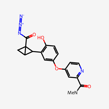 CNC(=O)c1cc(Oc2ccc(O)c(C3C4CC43C(=O)N=[N+]=[N-])c2)ccn1